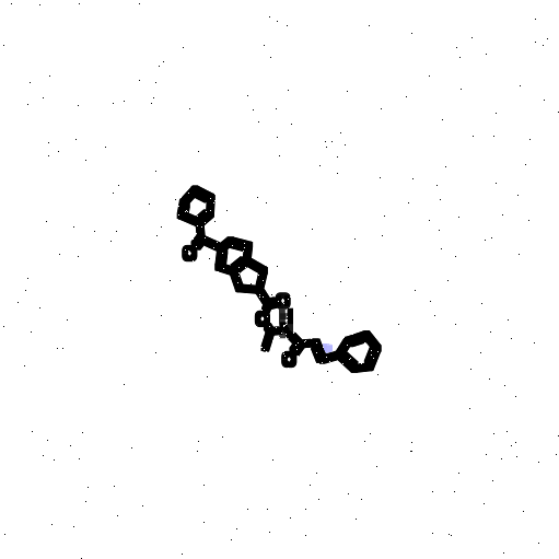 CC(NC(=O)/C=C/c1ccccc1)OC(=O)C1Cc2ccc(C(=O)c3ccccc3)cc2C1